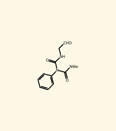 CNC(=O)N(C(=O)NC[C]=O)c1ccccc1